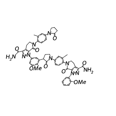 COc1ccc(-n2nc(C(N)=O)c3c2C(=O)N(c2ccc(N4CCCC4=O)cc2C)CC3)cc1C1CCN(c2ccc(N3CCc4c(C(N)=O)nn(-c5ccccc5OC)c4C3=O)c(C)c2)C1=O